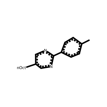 CCCCCCCCc1cnc(-c2ccc(C)cc2)nc1